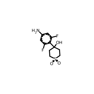 Nc1cc(F)c(C2(O)CCS(=O)(=O)CC2)c(F)c1